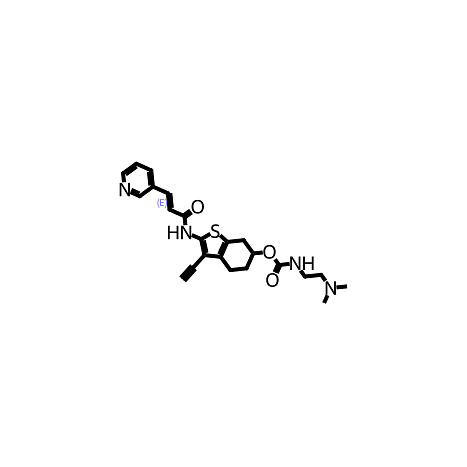 C#Cc1c(NC(=O)/C=C/c2cccnc2)sc2c1CCC(OC(=O)NCCN(C)C)C2